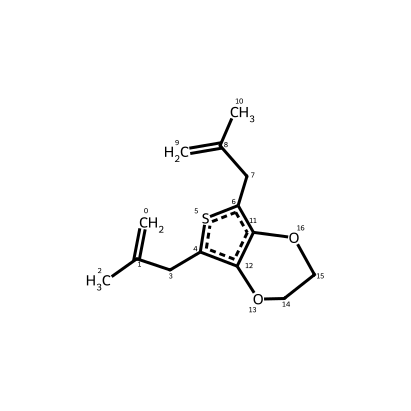 C=C(C)Cc1sc(CC(=C)C)c2c1OCCO2